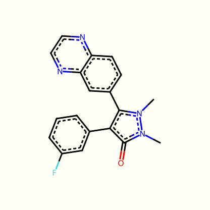 Cn1c(-c2ccc3nccnc3c2)c(-c2cccc(F)c2)c(=O)n1C